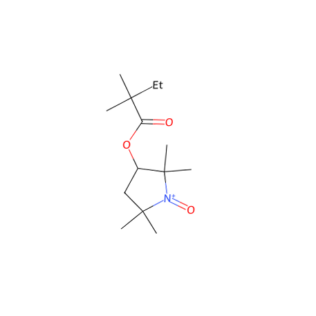 CCC(C)(C)C(=O)OC1CC(C)(C)[N+](=O)C1(C)C